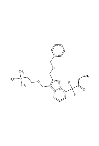 COC(=O)C(F)(F)c1cccc2c1nc(COCc1ccccc1)n2COCC[Si](C)(C)C